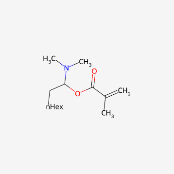 C=C(C)C(=O)OC(CCCCCCC)N(C)C